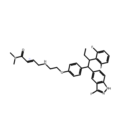 CCC(c1c(F)cccc1F)C(c1ccc(OCCNC/C=C/C(=O)N(C)C)cc1)c1ccc2[nH]nc(F)c2c1